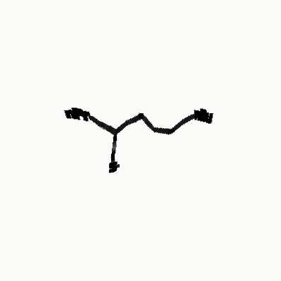 CCCCCCC([S])CCC